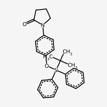 CC(C)(C)[Si](Oc1ccc(N2CCCC2=O)cc1)(c1ccccc1)c1ccccc1